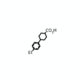 CCc1ccc(C2CCC(C(=O)O)CC2)cc1